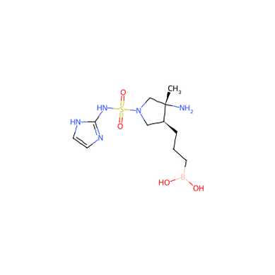 C[C@]1(N)CN(S(=O)(=O)Nc2ncc[nH]2)C[C@@H]1CCCB(O)O